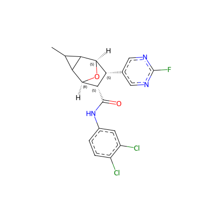 CC1C2C1[C@@H]1O[C@H]2[C@@H](C(=O)Nc2ccc(Cl)c(Cl)c2)[C@H]1c1cnc(F)nc1